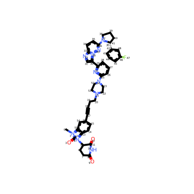 Cn1c(=O)n(C2CCC(=O)NC2=O)c2ccc(C#CCCN3CCN(c4cccc(-c5cnc6ccc(N7CCC[C@@H]7c7cccc(F)c7)nn56)n4)CC3)cc21